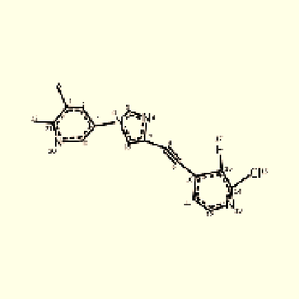 Cc1cc(-n2cnc(C#Cc3ccnc(Cl)c3F)c2)cnc1C